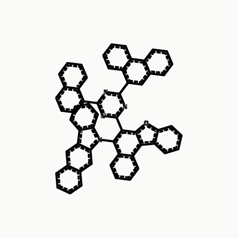 c1ccc2cc3c(cc2c1)c1ccccc1n3-c1c(-c2nc(-c3cccc4ccccc34)nc(-c3cc4ccccc4c4ccccc34)n2)c2oc3ccccc3c2c2ccccc12